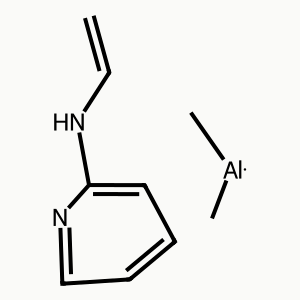 C=CNc1ccccn1.[CH3][Al][CH3]